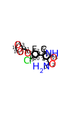 NC(=O)c1cc(-c2ccc(OCC3COCCO3)c(Cl)c2)c(C(F)(F)F)[nH]c1=O